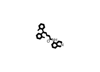 Cc1ccccc1C(=CC=CC(=O)Nc1cccc2cnccc12)c1ccccc1C